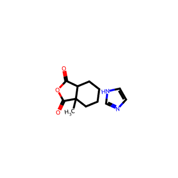 CC12CCCCC1C(=O)OC2=O.c1c[nH]cn1